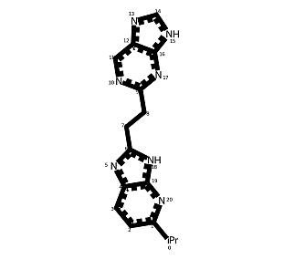 CC(C)c1ccc2nc(CCc3ncc4nc[nH]c4n3)[nH]c2n1